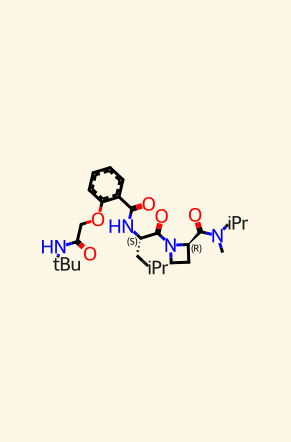 CC(C)C[C@H](NC(=O)c1ccccc1OCC(=O)NC(C)(C)C)C(=O)N1CC[C@@H]1C(=O)N(C)C(C)C